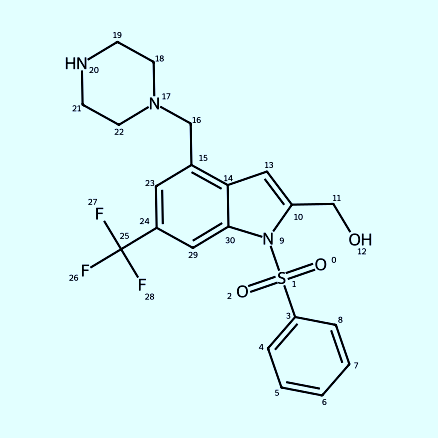 O=S(=O)(c1ccccc1)n1c(CO)cc2c(CN3CCNCC3)cc(C(F)(F)F)cc21